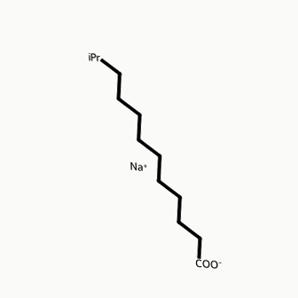 CC(C)CCCCCCCCCC(=O)[O-].[Na+]